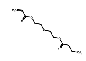 C=CC(=O)OCCOCCOC(=O)CCC